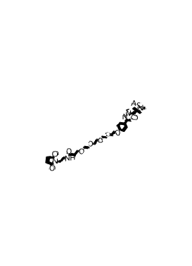 CC(=O)N(C)C(C)(C)C(=O)N(C)N=C(C)c1ccc(OCCOCCOCCOCCOCCC(=O)NCCN2C(=O)C=CC2=O)cc1